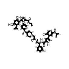 CCNC(=O)c1nnc(-c2cc(C(C)C)c(O)cc2O)n1-c1ccc(N(C)C2CCN(CC(=O)OCC(NC(=O)c3cc(-c4cc(NC(C)C)ncc4Cl)c[nH]3)c3cccc(Cl)c3)CC2)nc1